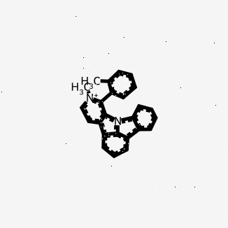 Cc1ccccc1-c1c2c(cc[n+]1C)c1cccc3c4ccccc4n2c31